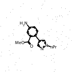 CCCn1cc(-c2ccc(N)cc2C(=O)OC)cn1